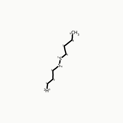 [2H]CCCSSCCCC